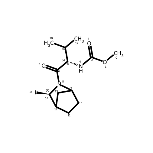 COC(=O)N[C@H](C(=O)N1C2CCC(C2)[C@H]1I)C(C)C